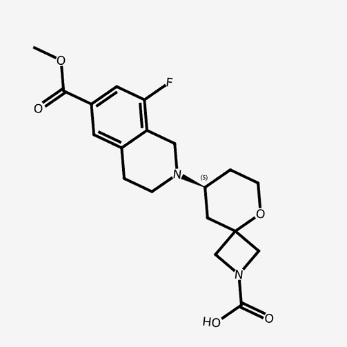 COC(=O)c1cc(F)c2c(c1)CCN([C@H]1CCOC3(C1)CN(C(=O)O)C3)C2